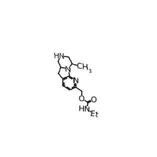 CCNC(=O)OCc1ccc2c(n1)N1C(C)CNCC1C2